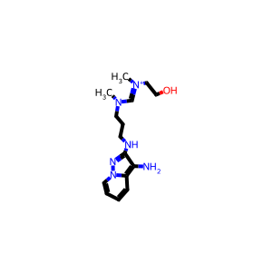 CN(/C=[N+](\C)CCO)CCCNc1nn2ccccc2c1N